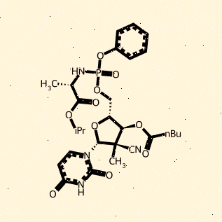 CCCCC(=O)O[C@@H]1[C@@H](COP(=O)(N[C@@H](C)C(=O)OC(C)C)Oc2ccccc2)O[C@@H](n2ccc(=O)[nH]c2=O)[C@]1(C)C#N